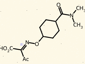 CC(=O)/C(=N\OC1CCC(C(=O)N(C)C)CC1)C(=O)O